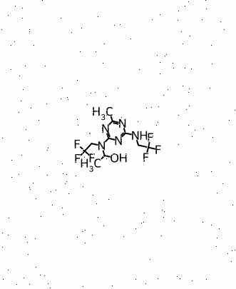 Cc1nc(NCC(F)(F)F)nc(N(CC(F)(F)F)C(C)O)n1